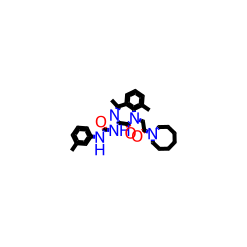 CC1=NC(NC(=O)Nc2cccc(C)c2)C(=O)N(CC(=O)N2CCCCCCC2)c2c(C)cccc21